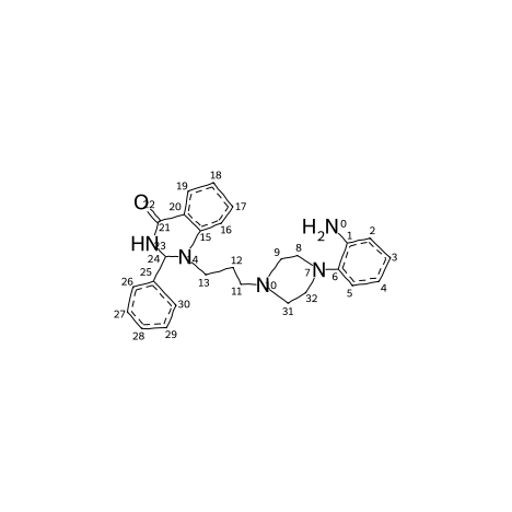 Nc1ccccc1N1CCN(CCCN2c3ccccc3C(=O)NC2c2ccccc2)CC1